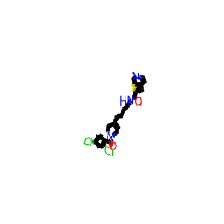 O=C(NCCCCC1CCN(C(=O)c2ccc(Cl)cc2Cl)CC1)c1cc2ccncc2s1